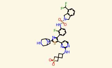 O=S1(=O)CC2(CC(Nc3nccc(-c4sc(N5C6CCC5CNC6)nc4-c4cccc(NS(=O)(=O)N5Cc6cccc(C(F)F)c6C5)c4F)n3)C2)C1